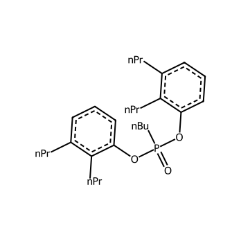 CCCCP(=O)(Oc1cccc(CCC)c1CCC)Oc1cccc(CCC)c1CCC